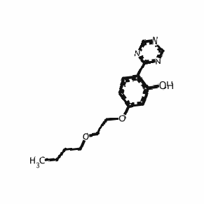 CCCCOCCOc1ccc(-c2ncncn2)c(O)c1